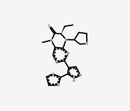 CC[C@@H]1C(=O)N(C)c2cnc(-c3cn[nH]c3-c3nccs3)nc2N1C1CCOC1